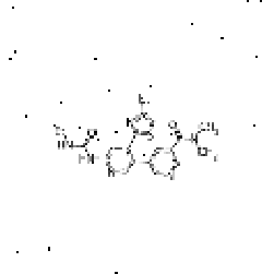 CCNC(=O)Nc1cc(-c2nc(CC)cs2)c(-c2cncc(C(=O)N(C)C)c2)cn1